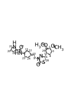 COc1ccc(C2=NN(CCc3ccc(NC(=O)c4ccc[nH]4)cc3)C(=O)SC2)cc1OC